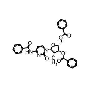 C[C@H]1[C@H](OC(=O)c2ccccc2)[C@@H](COC(=O)c2ccccc2)O[C@H]1n1ccc(NC(=O)c2ccccc2)nc1=O